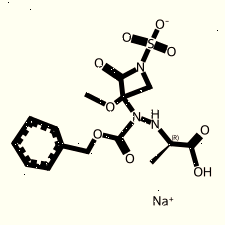 COC1(N(N[C@H](C)C(=O)O)C(=O)OCc2ccccc2)CN(S(=O)(=O)[O-])C1=O.[Na+]